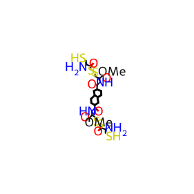 COC(=O)C(CSSC(=O)[C@@H](N)CS)NC(=O)c1ccc2cc(C(=O)NC(CSSC(=O)[C@@H](N)CS)C(=O)OC)ccc2c1